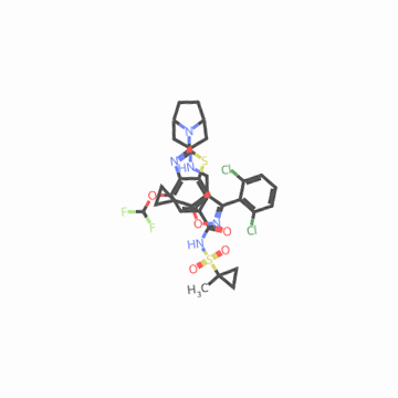 CC1(S(=O)(=O)NC(=O)c2cc(OC(F)F)c3nc(N4C5CCC4CC(NCc4c(-c6c(Cl)cccc6Cl)noc4C4CC4)C5)sc3c2)CC1